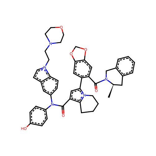 C[C@@H]1Cc2ccccc2CN1C(=O)c1cc2c(cc1-c1cc(C(=O)N(c3ccc(O)cc3)c3ccc4c(ccn4CCN4CCOCC4)c3)c3n1CCCC3)OCO2